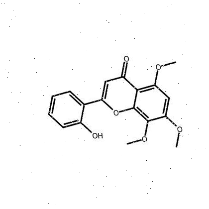 COc1cc(OC)c2c(=O)cc(-c3ccccc3O)oc2c1OC